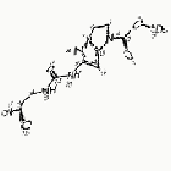 CC(C)(C)OC(=O)N1CCn2nc(NC(=O)NCC(=O)N=O)cc21